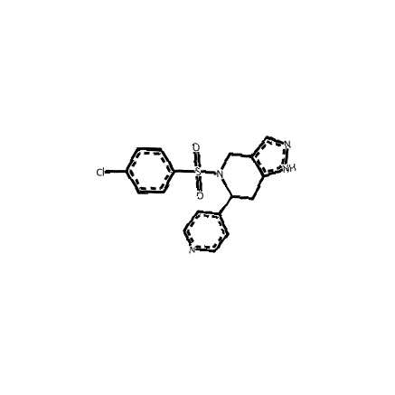 O=S(=O)(c1ccc(Cl)cc1)N1Cc2cn[nH]c2CC1c1ccncc1